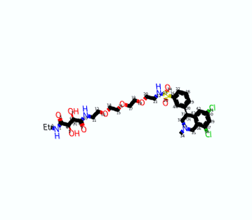 CCNC(=O)[C@H](O)[C@@H](O)C(=O)NCCOCCOCCOCCNS(=O)(=O)c1cccc([C@@H]2CN(C)Cc3c(Cl)cc(Cl)cc32)c1